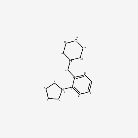 c1ccc(N2CCCC2)c(CN2CCOCC2)c1